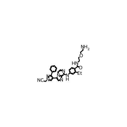 CCc1cc(Nc2nccn3c(-c4cn(CC#N)nc4-c4ccccc4)cnc23)ccc1C(=O)NCCOCCN